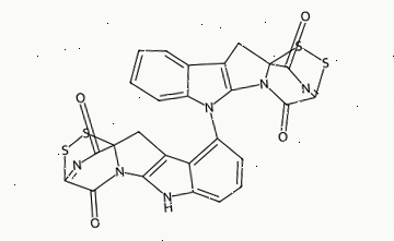 O=C1C2=NC(=O)C3(Cc4c([nH]c5cccc(-n6c7c(c8ccccc86)CC68SSC(=NC6=O)C(=O)N78)c45)N13)SS2